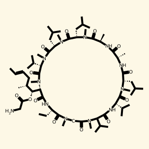 C/C=C/C[C@@H](C)[C@@H](OC(=O)CN)[C@H]1C(=O)N[C@@H](CC)C(=O)N(C)CC(=O)N(C)C(C(C)C)C(=O)N[C@@H](C(C)C)C(=O)N(C)[C@@H](CC(C)C)C(=O)N[C@@H](C)C(=O)N[C@H](C)C(=O)N(C)[C@@H](CC(C)C)C(=O)N(C)[C@@H](CC(C)C)C(=O)N(C)[C@@H](C(C)C)C(=O)N1C